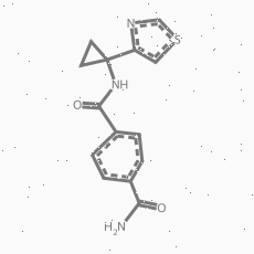 NC(=O)c1ccc(C(=O)NC2(c3cscn3)CC2)cc1